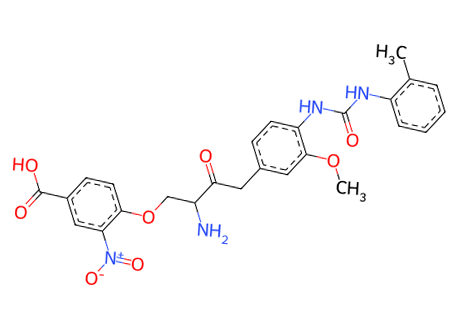 COc1cc(CC(=O)C(N)COc2ccc(C(=O)O)cc2[N+](=O)[O-])ccc1NC(=O)Nc1ccccc1C